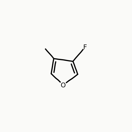 Cc1cocc1F